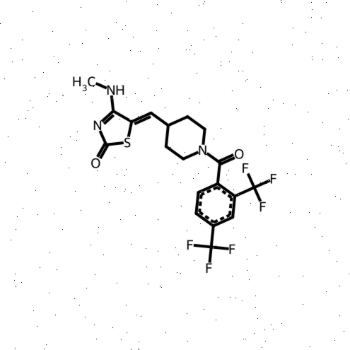 CNC1=NC(=O)S/C1=C\C1CCN(C(=O)c2ccc(C(F)(F)F)cc2C(F)(F)F)CC1